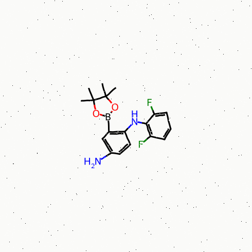 CC1(C)OB(c2cc(N)ccc2Nc2c(F)cccc2F)OC1(C)C